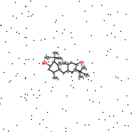 CC1CC(O)C(C(C)(C)C)CC1CC1C[C@H](C(C)(C)C)C(O)CC1C